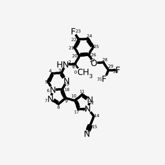 C[C@@H](Nc1ccn2ncc(-c3cnn(CC#N)c3)c2n1)c1cc(F)ccc1OCC(F)F